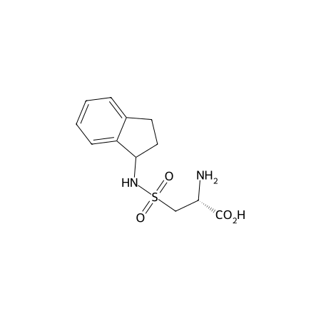 N[C@@H](CS(=O)(=O)NC1CCc2ccccc21)C(=O)O